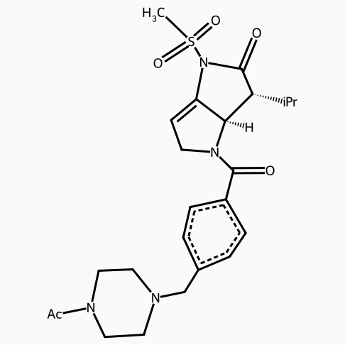 CC(=O)N1CCN(Cc2ccc(C(=O)N3CC=C4[C@H]3[C@@H](C(C)C)C(=O)N4S(C)(=O)=O)cc2)CC1